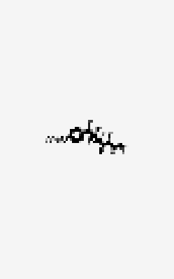 COc1ccc(C(F)C(F)(I)C(F)(F)C(F)C(F)C(F)C(F)F)cc1